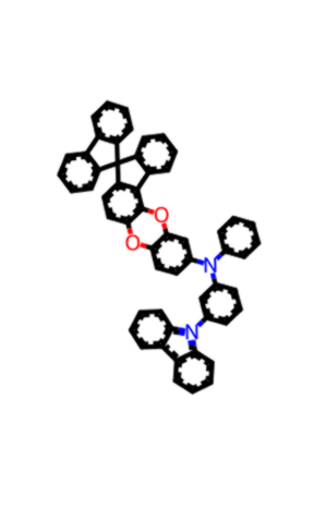 c1ccc(N(c2cccc(-n3c4ccccc4c4ccccc43)c2)c2ccc3c(c2)Oc2c(ccc4c2-c2ccccc2C42c4ccccc4-c4ccccc42)O3)cc1